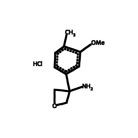 COc1cc(C2(N)COC2)ccc1C.Cl